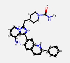 CCNC(=O)N1CCC(Cc2nc(-c3ccc4ccc(-c5ccccc5)nc4c3)c3c(N)cccn23)CC1